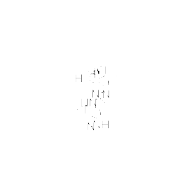 CP(C)(=O)c1cccc(-c2nsc(Nc3ccc4[nH]ncc4c3Cl)n2)c1